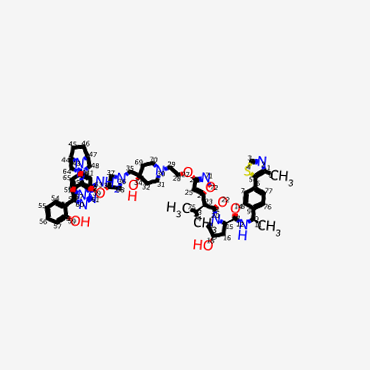 Cc1ncsc1-c1ccc([C@@H](C)NC(=O)[C@H]2C[C@H](O)CN2C(=O)[C@H](c2cc(OCCN3CCC(O)(CN4CC(Oc5cc(N6C7CCC6CN(c6cc(-c8ccccc8O)nnc6N)C7)ccn5)C4)CC3)no2)C(C)C)cc1